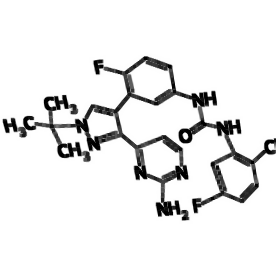 CC(C)(C)n1cc(-c2cc(NC(=O)Nc3cc(F)ccc3Cl)ccc2F)c(-c2ccnc(N)n2)n1